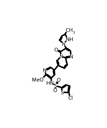 COc1ncc(-c2ccc3ncc(N4C=CC(C)N4)c(=O)n3c2)cc1NS(=O)(=O)c1ccc(Cl)s1